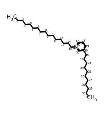 CCCCCCCCCCCCCCCC[n+]1cccc(CCCCCCCCCCC)c1